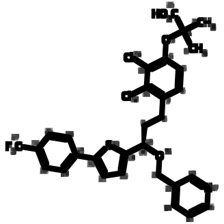 CC(C)(Oc1ccc(CC[C@@H](OCc2cccnc2)c2ccc(-c3ccc(C(F)(F)F)cc3)s2)c(Cl)c1Cl)C(=O)O